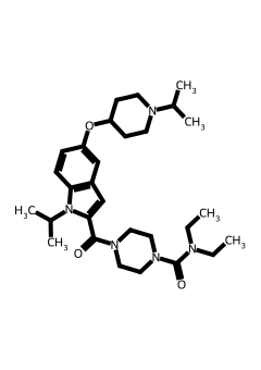 CCN(CC)C(=O)N1CCN(C(=O)c2cc3cc(OC4CCN(C(C)C)CC4)ccc3n2C(C)C)CC1